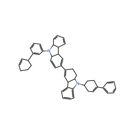 C1=CC2C3C=C(C4=CC5c6ccccc6N(C6CC=C(c7ccccc7)CC6)C5CC4)C=CC3N(c3cccc(C4C=CCCC4)c3)C2C=C1